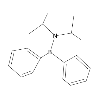 CC(C)N(B(c1ccccc1)c1ccccc1)C(C)C